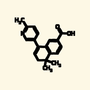 Cc1ccc(C2=CCC(C)(C)c3ccc(C(=O)O)cc32)cn1